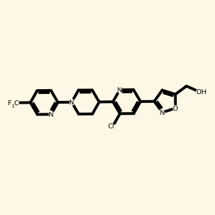 OCc1cc(-c2cnc(C3C=CN(c4ccc(C(F)(F)F)cn4)CC3)c(Cl)c2)no1